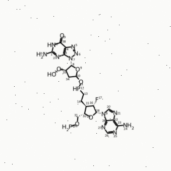 Nc1nc2c(nnn2[C@@H]2OC(OPCC[C@H]3[C@H](F)[C@H](n4cnc5c(N)ncnc54)O[C@@H]3COP)C[C@H]2OO)c(=O)[nH]1